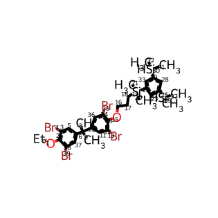 CCOc1c(Br)cc(C(C)(C)c2cc(Br)c(OCCC[Si](C)(C)c3cc([SiH](C)C)cc([SiH](C)C)c3)c(Br)c2)cc1Br